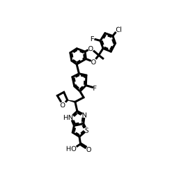 CC1(c2ccc(Cl)cc2F)Oc2cccc(-c3ccc(CC(c4nc5sc(C(=O)O)cc5[nH]4)[C@@H]4CCO4)c(F)c3)c2O1